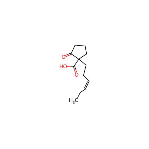 CC/C=C\CCC1(C(=O)O)CCCC1=O